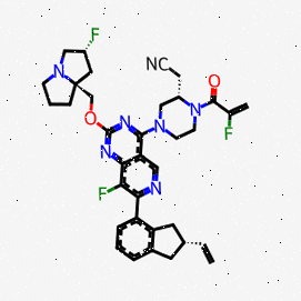 C=C[C@@H]1Cc2cccc(-c3ncc4c(N5CCN(C(=O)C(=C)F)[C@@H](CC#N)C5)nc(OC[C@@]56CCCN5C[C@H](F)C6)nc4c3F)c2C1